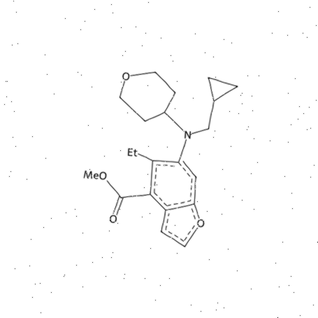 CCc1c(N(CC2CC2)C2CCOCC2)cc2occc2c1C(=O)OC